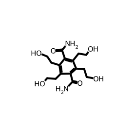 NC(=O)c1c(CCO)c(CCO)c(C(N)=O)c(CCO)c1CCO